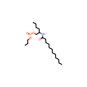 CCCCCCCCCCCC(=O)NC(CCCC)CO[PH](=O)OCCC